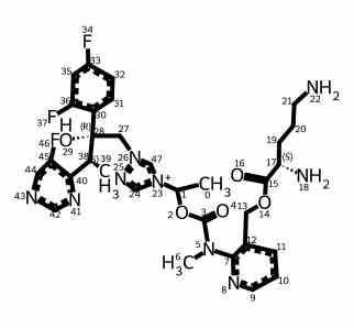 CC(OC(=O)N(C)c1ncccc1COC(=O)[C@@H](N)CCCN)[n+]1cnn(C[C@](O)(c2ccc(F)cc2F)[C@@H](C)c2ncncc2F)c1